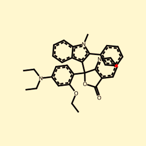 CCOc1cc(N(CC)CC)ccc1C1(c2c(-c3ccccc3)n(C)c3ccccc23)OC(=O)c2cccnc21